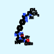 COC(=O)N[C@H](C(=O)N1[C@@H]2C[C@@H]2C[C@H]1c1ncc(-c2ccc(-c3ccc(-c4cnc([C@@H]5C[C@@H](C)[C@@H](C)N5C(C)=O)[nH]4)cc3)cc2)[nH]1)C(C)C